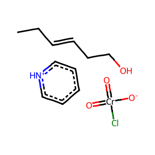 CCC=CCCO.[O]=[Cr](=[O])([O-])[Cl].c1cc[nH+]cc1